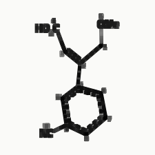 COCC(=CC(=O)O)c1cccc(C#N)c1